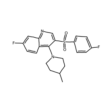 CC1CCN(c2c(S(=O)(=O)c3ccc(F)cc3)cnc3cc(F)ccc23)CC1